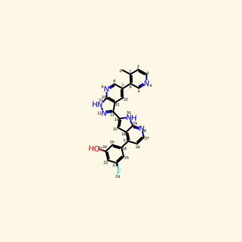 Cc1ccncc1-c1cnc2[nH]nc(-c3cc4c(-c5cc(O)cc(F)c5)ccnc4[nH]3)c2c1